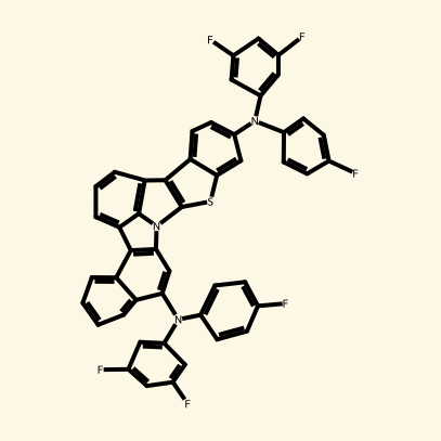 Fc1ccc(N(c2cc(F)cc(F)c2)c2ccc3c(c2)sc2c3c3cccc4c5c6ccccc6c(N(c6ccc(F)cc6)c6cc(F)cc(F)c6)cc5n2c43)cc1